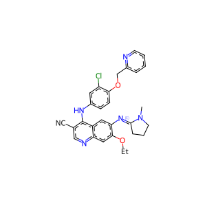 CCOc1cc2ncc(C#N)c(Nc3ccc(OCc4ccccn4)c(Cl)c3)c2cc1/N=C1\CCCN1C